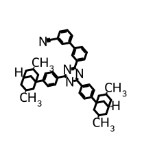 C[C@@H]1C[C@@H]2C[C@H](C)CC(c3ccc(-c4nc(-c5ccc(C67C[C@H](C)C[C@H](C[C@H](C)C6)C7)cc5)nc(-c5cccc(-c6cccc(C#N)c6)c5)n4)cc3)(C1)C2